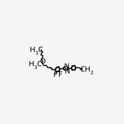 C=CCc1ccc(-c2ncc(-c3ccc(/C=C/CCCC(C)OCCCCC)c(F)c3F)cn2)cc1